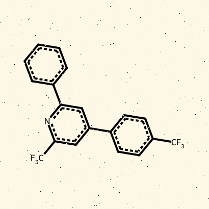 FC(F)(F)c1ccc(-c2cc(-c3ccccc3)nc(C(F)(F)F)c2)cc1